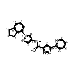 O=C(Nc1cnn(-c2cccc3c2CCC3)c1)c1cc(-c2ccccn2)on1